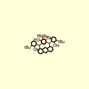 CC(C)(C)c1cccc(C(c2cccc(C(C)(C)C)c2O)c2cccc3cc4cccc(C(c5cccc(C(C)(C)C)c5O)c5cccc(C(C)(C)C)c5O)c4cc23)c1O